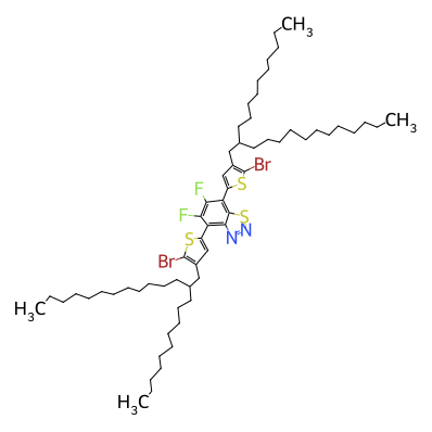 CCCCCCCCCCCCC(CCCCCCCCCC)Cc1cc(-c2c(F)c(F)c(-c3cc(CC(CCCCCCCCCC)CCCCCCCCCCCC)c(Br)s3)c3snnc23)sc1Br